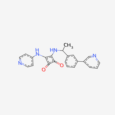 CC(Nc1c(Nc2ccncc2)c(=O)c1=O)c1cccc(-c2cccnc2)c1